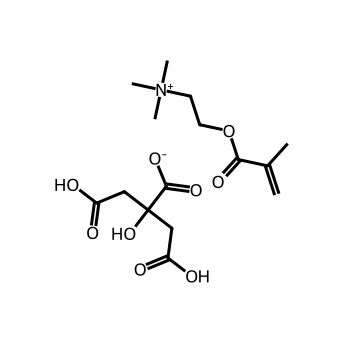 C=C(C)C(=O)OCC[N+](C)(C)C.O=C(O)CC(O)(CC(=O)O)C(=O)[O-]